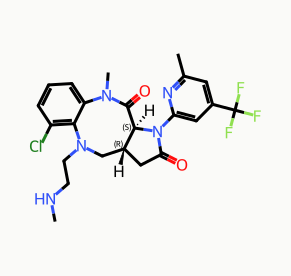 CNCCN1C[C@H]2CC(=O)N(c3cc(C(F)(F)F)cc(C)n3)[C@@H]2C(=O)N(C)c2cccc(Cl)c21